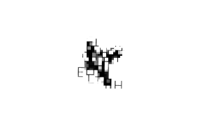 CCOc1ncc(S(=O)(=O)N2CCN(CC)CC2)cc1-c1nc2c(CC)n(C3CCNCC3)nc2c(=O)[nH]1.O=C(O)C(F)(F)F.O=C(O)C(F)(F)F